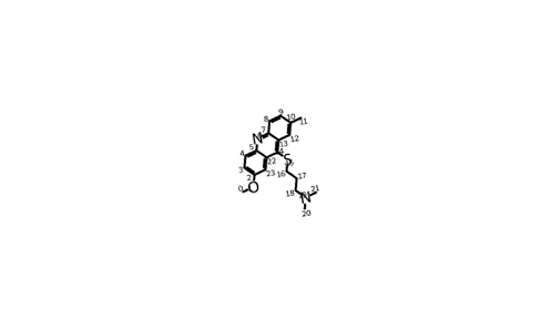 COc1ccc2nc3ccc(C)cc3c(SCCCN(C)C)c2c1